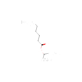 CCCCCCCCCC(CCCCCCCC)OC(=O)CCCCC(=O)O